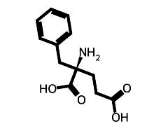 N[C@](CCC(=O)O)(Cc1ccccc1)C(=O)O